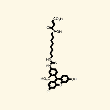 O=C(O)/C=C/C(=O)N(O)CCCCCCCCNC(=S)Nc1ccc(-c2c3ccc(=O)cc-3oc3cc(O)ccc23)c(C(=O)O)c1